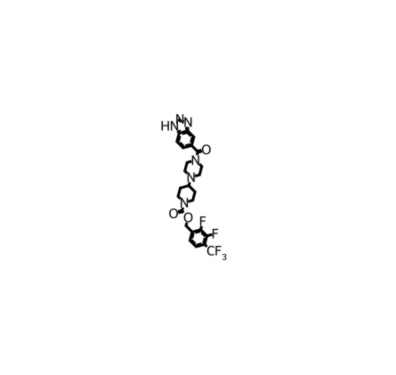 O=C(OCc1ccc(C(F)(F)F)c(F)c1F)N1CCC(N2CCN(C(=O)c3ccc4[nH]nnc4c3)CC2)CC1